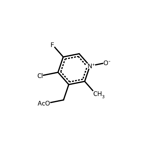 CC(=O)OCc1c(Cl)c(F)c[n+]([O-])c1C